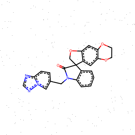 O=C1N(Cc2ccc3ncnn3c2)c2ccccc2C12COc1cc3c(cc12)OCCO3